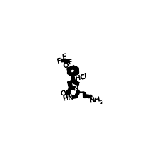 Cl.NCCC[C@H]1CNC(=O)c2cc(-c3cccc(OC(F)(F)F)c3)cn21